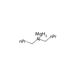 CCC[CH2][Al][CH2]CCC.[MgH2]